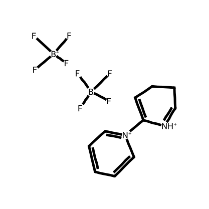 C1=[NH+]C([n+]2ccccc2)=CCC1.F[B-](F)(F)F.F[B-](F)(F)F